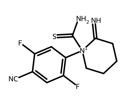 N#Cc1cc(F)c([N+]2(C(N)=S)CCCCC2=N)cc1F